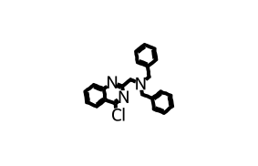 Clc1nc(CN(Cc2ccccc2)Cc2ccccc2)nc2ccccc12